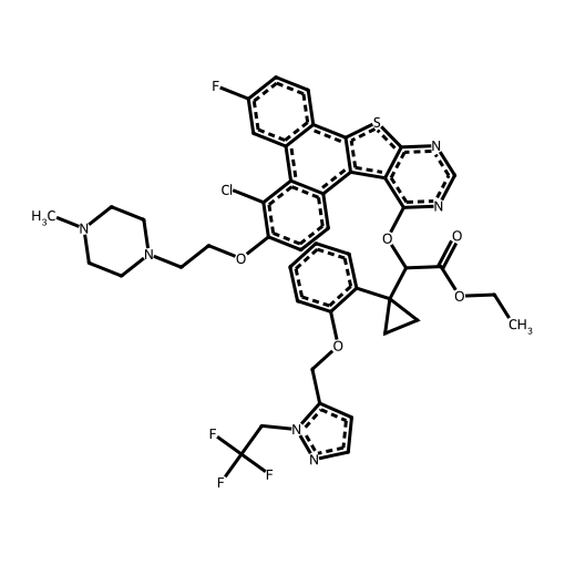 CCOC(=O)C(Oc1ncnc2sc3c4ccc(F)cc4c4c(Cl)c(OCCN5CCN(C)CC5)ccc4c3c12)C1(c2ccccc2OCc2ccnn2CC(F)(F)F)CC1